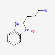 [N]CCCC1=Nc2ccccc2[N+]1=O